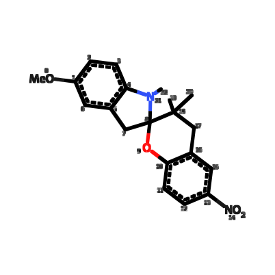 COc1ccc2c(c1)CC1(Oc3ccc([N+](=O)[O-])cc3CC1(C)C)N2C